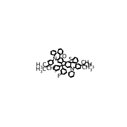 CC(C)(C)c1ccc(N(c2ccccc2)c2cc3c(c4oc5ccccc5c24)-c2c(cc(N(c4ccc(C(C)(C)C)cc4)C4C=CC=CC4)c4c2sc2ccccc24)C3(c2ccccc2)c2cccc(F)c2)cc1